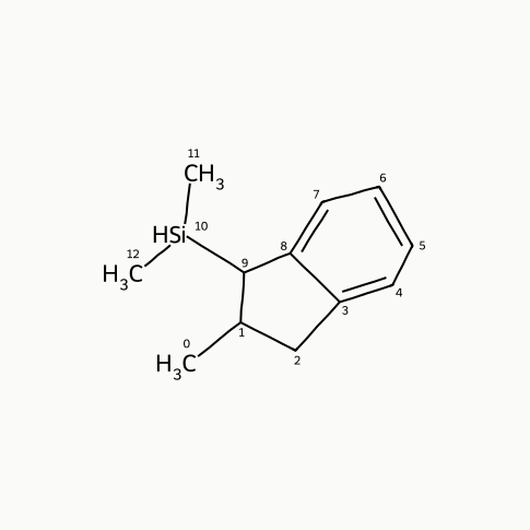 CC1Cc2ccccc2C1[SiH](C)C